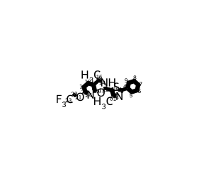 Cc1nc(-c2ccccc2)sc1C(=O)NC(C)c1ccc(OCC(F)(F)F)nc1